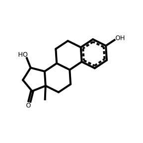 CC12CCC3c4ccc(O)cc4CCC3C1C(O)CC2=O